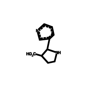 O=C(O)C1CCNC1c1cccnc1